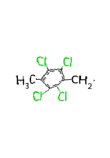 [CH2]c1c(Cl)c(Cl)c(C)c(Cl)c1Cl